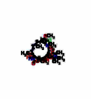 COc1cc2cc(c1Cl)N(C)C(=O)C[C@H](OC(=O)[C@H](C)N(C)C(C)=O)[C@]1(C)O[C@]1(O)[C@H](C)[C@@H]1C[C@@](O)(NC(=O)O1)[C@H](OC)/C=C/C=C(\C)C2